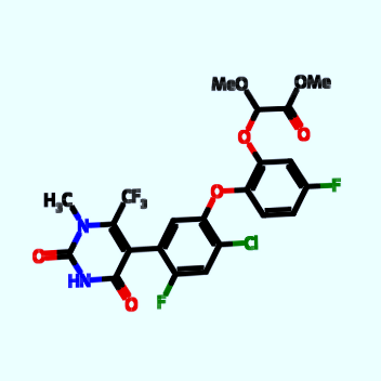 COC(=O)C(OC)Oc1cc(F)ccc1Oc1cc(-c2c(C(F)(F)F)n(C)c(=O)[nH]c2=O)c(F)cc1Cl